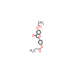 C=CC(=O)Oc1ccc2oc(-c3ccc(OC4OC4C=C)cc3)cc(=O)c2c1